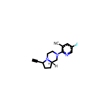 C#CC1CC[C@H]2CN(c3ncc(F)cc3C#N)CCN12